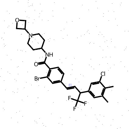 Cc1cc(C(/C=C/c2ccc(C(=O)NC3CCN(C4COC4)CC3)c(Br)c2)C(F)(F)F)cc(Cl)c1C